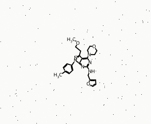 COCCc1nn(-c2ccc(C)cc2)c2nc(NCc3ccco3)nc(N3CCOCC3)c12